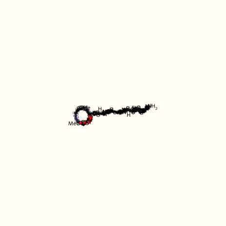 CO[C@H]1C[C@@H]2CCC[C@@](O)(O2)C(=O)C(=O)N2CCCC[C@H]2C(=O)O[C@H](CC[C@H]2CC[C@H](OC(=O)NCc3cnc(N4CCN(C(=O)CCOCCN5CCN(c6ncc(C(=O)NCCS(=O)(=O)c7ccc(C(=O)N8CCOc9ccc(-c%10ccc(N)nc%10)cc9C8)c(C)c7F)cn6)CC5)CC4)nc3)CC2)CC[C@H](C)/C=C(\C)[C@@H](O)[C@@H](OC)C(=O)[C@H](C)C[C@H](C)/C=C/C=C/C=C/1C